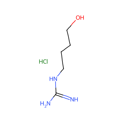 Cl.N=C(N)NCCCCO